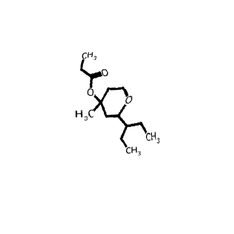 CCC(=O)OC1(C)CCOC(C(CC)CC)C1